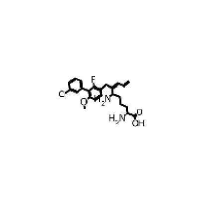 C=C/C=C(/Cc1ccc(OC)c(-c2cccc(Cl)c2)c1F)C(N)CCC[C@H](N)C(=O)O